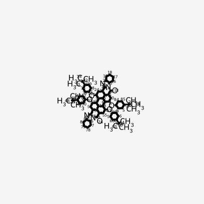 CC(C)(C)c1ccc(Oc2cc3c(=O)n4c5ccccc5nc4c4cc(Oc5ccc(C(C)(C)C)cc5)c5c6c(Oc7ccc(C(C)(C)C)cc7)cc7c8c(cc(Oc9ccc(C(C)(C)C)cc9)c(c2c5c34)c68)c(=O)n2c3ccccc3nc72)cc1